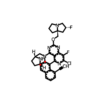 C#Cc1cccc2cccc(-c3nc(Cl)c(F)c4nc(OC[C@@]56CCCN5C[C@H](F)C6)nc(N5C[C@H]6CC[C@@H](C5)N6)c34)c12